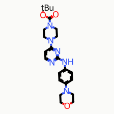 CC(C)(C)OC(=O)N1CCN(c2ccnc(Nc3ccc(N4CCOCC4)cc3)n2)CC1